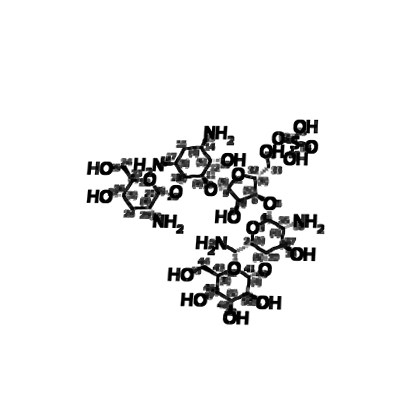 NC[C@@H]1O[C@H](O[C@H]2[C@@H](O)[C@H](O[C@@H]3[C@@H](O)[C@H](N)C[C@H](N)[C@H]3O[C@H]3O[C@H](CO)[C@@H](O)C[C@H]3N)O[C@@H]2CO)[C@H](N)[C@@H](O)[C@@H]1O[C@H]1O[C@H](CO)[C@@H](O)[C@H](O)[C@@H]1O.O=S(=O)(O)O